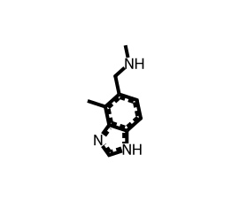 CNCc1ccc2[nH]cnc2c1C